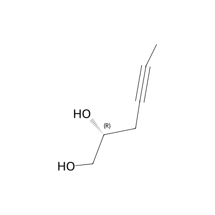 CC#CC[C@@H](O)CO